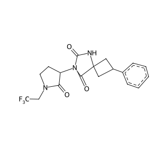 O=C1C(N2C(=O)NC3(CC(c4ccccc4)C3)C2=O)CCN1CC(F)(F)F